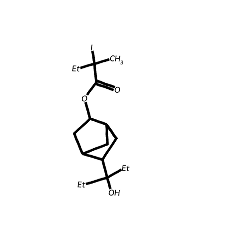 CCC(C)(I)C(=O)OC1CC2CC1CC2C(O)(CC)CC